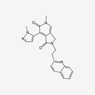 Cn1nccc1-c1c2c(cn(C)c1=O)CN(CCc1ccc3ccccc3n1)C2=O